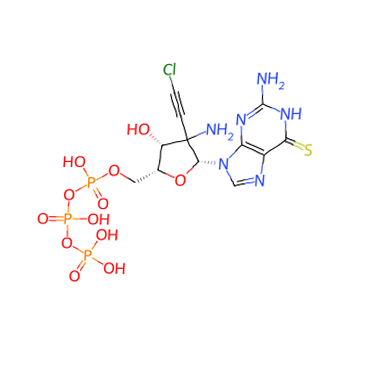 Nc1nc2c(ncn2[C@@H]2O[C@H](COP(=O)(O)OP(=O)(O)OP(=O)(O)O)[C@H](O)C2(N)C#CCl)c(=S)[nH]1